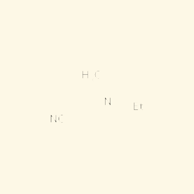 [CH2]CN(C)CC#N